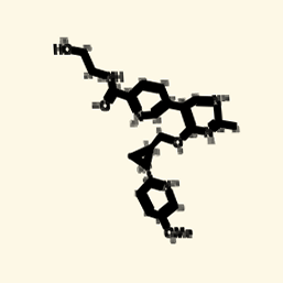 COc1ccc([C@@H]2C[C@H]2COc2nc(C)ncc2-c2ccc(C(=O)NCCO)nc2)nc1